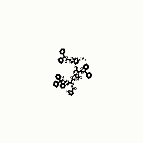 Cc1cc(SCC2=C(C(=O)OC(c3ccccc3)c3ccccc3)N3C(=O)[C@@H](NC(=O)C(=NOC(=O)c4ccc[nH]4)c4csc(NC(c5ccccc5)(c5ccccc5)c5ccccc5)n4)[C@H]3SC2)n2nc(C(=O)OC(c3ccccc3)c3ccccc3)nc2n1